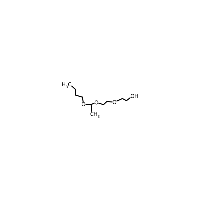 CCCCOC(C)OCCOCCO